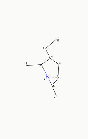 CCC1CC2C(C)N2C1C